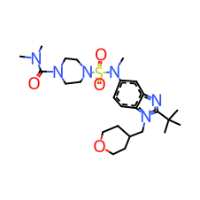 CN(C)C(=O)N1CCN(S(=O)(=O)N(C)c2ccc3c(c2)nc(C(C)(C)C)n3CC2CCOCC2)CC1